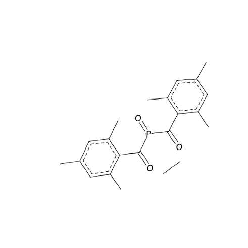 CC.Cc1cc(C)c(C(=O)[P](=O)C(=O)c2c(C)cc(C)cc2C)c(C)c1